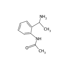 CC(=O)Nc1ccccc1C(C)N